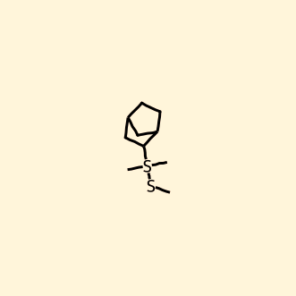 CSS(C)(C)C1CC2CCC1C2